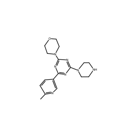 Cc1ccc(-c2nc(N3CCNCC3)nc(N3CCOCC3)n2)cn1